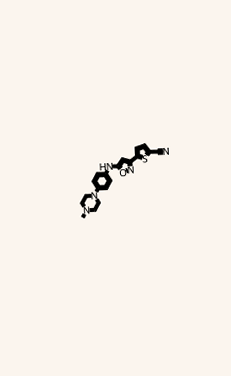 CN1CCN(c2ccc(Nc3cc(-c4ccc(C#N)s4)no3)cc2)CC1